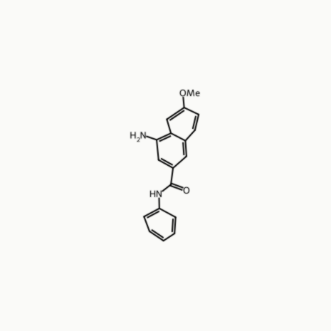 COc1ccc2cc(C(=O)Nc3ccccc3)cc(N)c2c1